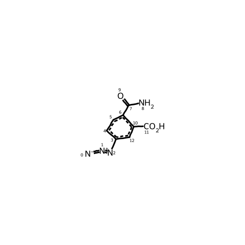 [N-]=[N+]=Nc1ccc(C(N)=O)c(C(=O)O)c1